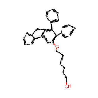 OCCCCCCOc1cc2c(c(-c3ccccc3)c1-c1ccccc1)Cc1ccccc1-2